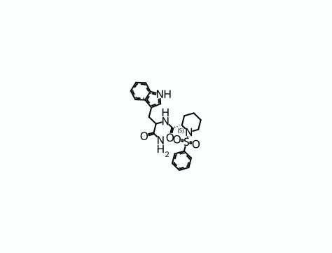 NC(=O)C(Cc1c[nH]c2ccccc12)NC(=O)[C@@H]1CCCCN1S(=O)(=O)c1ccccc1